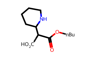 CCCCOC(=O)C(C(=O)O)C1CCCCN1